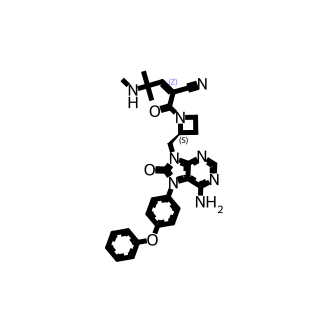 CNC(C)(C)/C=C(/C#N)C(=O)N1CC[C@H]1Cn1c(=O)n(-c2ccc(Oc3ccccc3)cc2)c2c(N)ncnc21